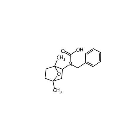 CC12CCC(C)(O1)C(N(Cc1ccccc1)C(=O)O)C2